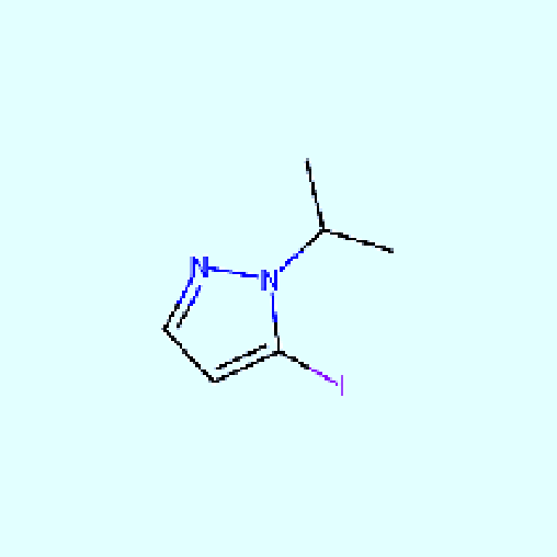 CC(C)n1nccc1I